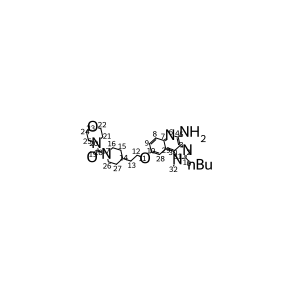 CCCCc1nc2c(N)nc3ccc(OCCC4CCN(C(=O)N5CCOCC5)CC4)cc3c2n1C